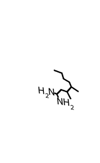 CCCCC(C)C(C)CC(N)N